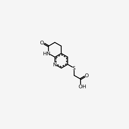 O=C(O)CSc1cnc2c(c1)CCC(=O)N2